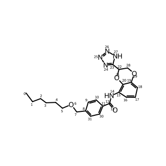 CCCCCCOCc1ccc(C(=O)Nc2cccc3c2OC(c2nnn[nH]2)CO3)cc1